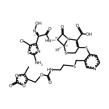 Cc1oc(=O)oc1COC(=O)NCCSCc1cnccc1SC1=C(C(=O)O)N2C(=O)[C@@H](NC(=O)/C(=N\O)c3nc(N)sc3Cl)[C@@H]2SC1